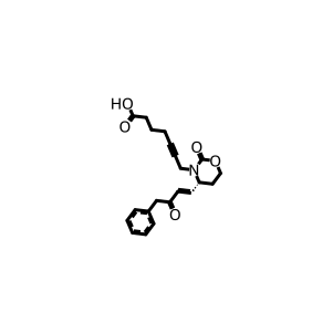 O=C(O)CCCC#CCN1C(=O)OCC[C@@H]1/C=C/C(=O)Cc1ccccc1